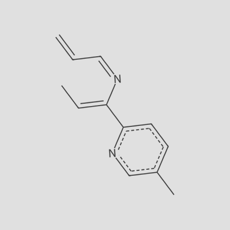 C=C/C=N\C(=C/C)c1ccc(C)cn1